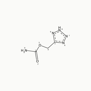 NC(=O)OCc1nn[nH]n1